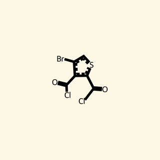 O=C(Cl)c1scc(Br)c1C(=O)Cl